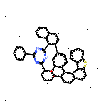 c1ccc(-c2nc(-c3ccccc3)nc(-c3c(-c4ccc5c(ccc6ccc7ccc8sc9ccccc9c8c7c65)c4)ccc4ccccc34)n2)cc1